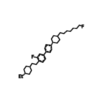 CCC1CCC(CCc2ccc(-c3ccc(C4CCC(CCCCCCCF)CC4)cc3)cc2F)CC1